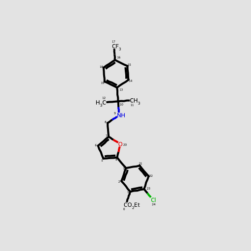 CCOC(=O)c1cc(-c2ccc(CNC(C)(C)c3ccc(C(F)(F)F)cc3)o2)ccc1Cl